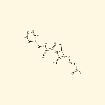 CC(=O)C=CCC1C(=O)N2C(C(=O)OCc3ccccc3)=CCC12